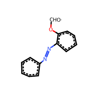 O=[C]Oc1ccccc1/N=N/c1ccccc1